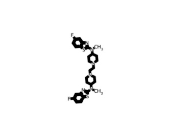 CN(c1nc2cc(F)ccc2s1)C1CCN(CCN2CCC(N(C)c3nc4cc(F)ccc4s3)CC2)CC1